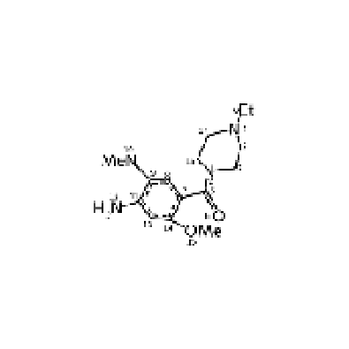 CCN1CCN(C(=O)c2cc(NC)c(N)cc2OC)CC1